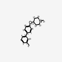 Cc1cccc(-c2ccc(OC3CCN(C)CC3)cc2)c1